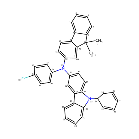 CC1(C)c2ccccc2-c2ccc(N(c3ccc(F)cc3)c3ccc4c(c3)c3ccccc3n4C3C=CC=CC3)cc21